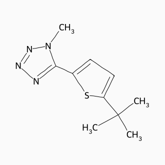 Cn1nnnc1-c1ccc(C(C)(C)C)s1